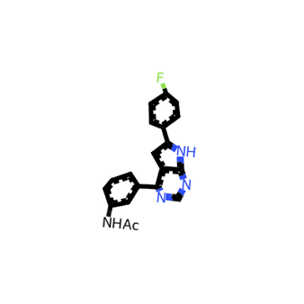 CC(=O)Nc1cccc(-c2ncnc3[nH]c(-c4ccc(F)cc4)cc23)c1